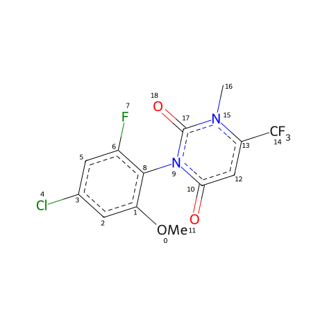 COc1cc(Cl)cc(F)c1-n1c(=O)cc(C(F)(F)F)n(C)c1=O